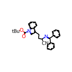 CC(C)(C)OC(=O)n1cc(CCC(C#N)N=C(c2ccccc2)c2ccccc2)c2ccccc21